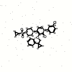 O=c1c(OCC2(c3ccccc3)CC2)c(N2CCN(S(=O)(=O)C3CC3)CC2)cnn1-c1cccc(Cl)c1